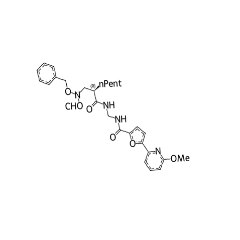 CCCCC[C@H](CN(C=O)OCc1ccccc1)C(=O)NCNC(=O)c1ccc(-c2cccc(OC)n2)o1